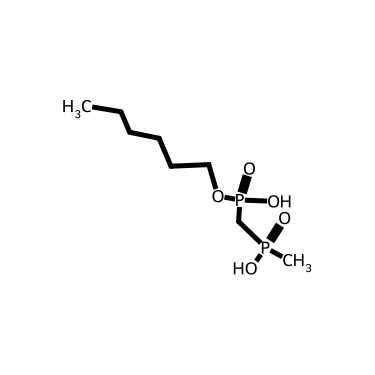 CCCCCCOP(=O)(O)CP(C)(=O)O